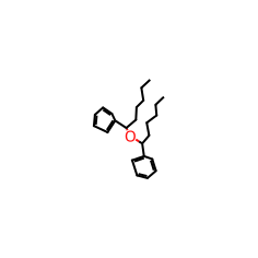 CCCCCC(OC(CCCCC)c1ccccc1)c1ccccc1